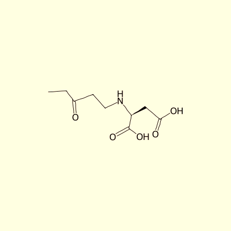 CCC(=O)CCN[C@@H](CC(=O)O)C(=O)O